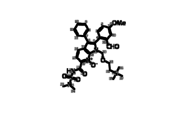 COc1ccc(-c2c(-c3ccccc3)c3ccc(C(=O)NS(=O)(=O)N(C)C)[n+]([O-])c3n2COCC[Si](C)(C)C)c(C=O)c1